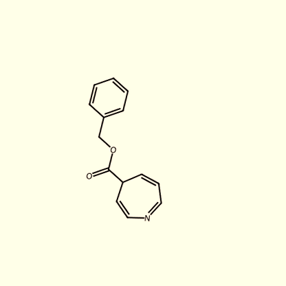 O=C(OCc1ccccc1)C1C=CC=NC=C1